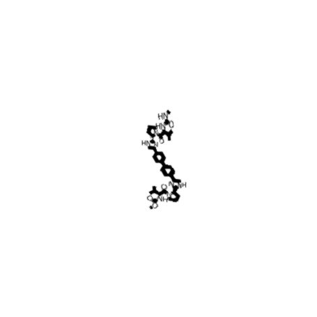 CNC(=O)NC(C(=O)N1CC=C[C@H]1c1nc(-c2ccc(-c3ccc(-c4c[nH]c(C5CCCN5C(=O)[C@@H](NC(=O)OC)C(C)C)n4)cc3)cc2)c[nH]1)C(C)C